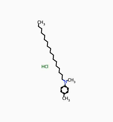 CCCCCCCCCCCCCCCCCCN(C)c1ccc(C)cc1.Cl